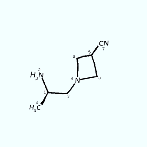 C[C@@H](N)CN1CC(C#N)C1